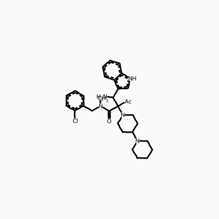 CC(=O)C(C(=O)N(C)Cc1ccccc1Cl)(C(N)c1c[nH]c2ccccc12)N1CCC(N2CCCCC2)CC1